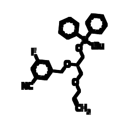 C=CCOC[C@H](CO[Si](c1ccccc1)(c1ccccc1)C(C)(C)C)OCc1cc(F)cc(C#N)c1